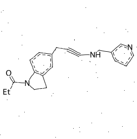 CCC(=O)N1CCc2cc(CC#CNCc3cccnc3)ccc21